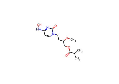 COC(CCn1ccc(NO)nc1=O)COC(=O)C(C)C